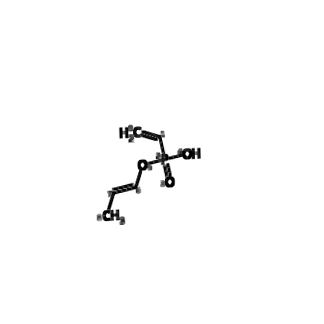 C=CP(=O)(O)OC=CC